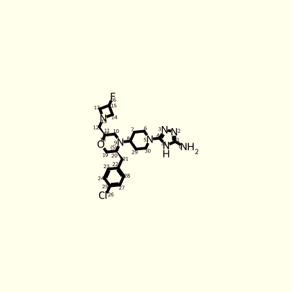 Nc1nnc(N2CCC(N3C[C@H](CN4CC(F)C4)OC[C@@H]3Cc3ccc(Cl)cc3)CC2)[nH]1